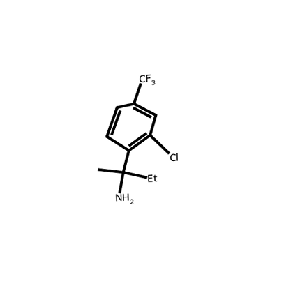 CCC(C)(N)c1ccc(C(F)(F)F)cc1Cl